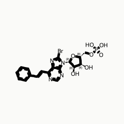 O=P(O)(O)OC[C@H]1O[C@@H](n2c(Br)nc3c(C=Cc4ccccc4)ncnc32)[C@H](O)[C@H]1O